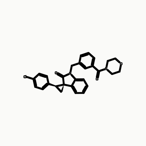 O=C(c1cccc(CN2C(=O)[C@@]3(C[C@H]3c3ccc(Cl)cc3)c3ccccc32)c1)N1CCOCC1